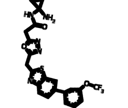 NC1(NC(=O)Cc2nnc(Cc3nc4ccc(-c5cccc(OC(F)(F)F)c5)cc4s3)o2)CC1